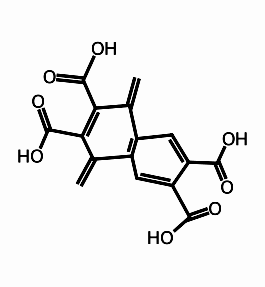 C=c1c(C(=O)O)c(C(=O)O)c(=C)c2cc(C(=O)O)c(C(=O)O)cc12